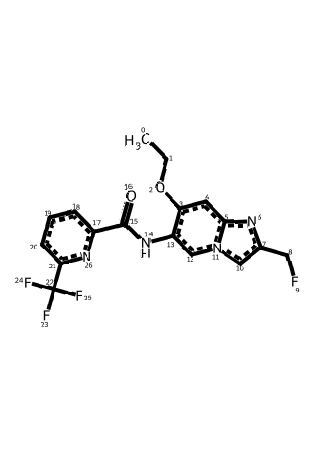 CCOc1cc2nc(CF)cn2cc1NC(=O)c1cccc(C(F)(F)F)n1